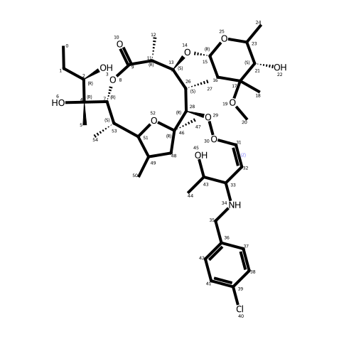 CC[C@@H](O)[C@@](C)(O)[C@@H]1OC(=O)[C@H](C)[C@@H](O[C@H]2CC(C)(OC)[C@@H](O)C(C)O2)[C@H](C)[C@@H](OO/C=C\C(NCc2ccc(Cl)cc2)C(C)O)[C@@]2(C)CC(C)C(O2)[C@@H]1C